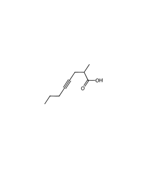 CCCC#CCC(C)C(=O)O